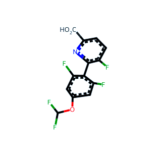 O=C(O)c1ccc(F)c(-c2c(F)cc(OC(F)F)cc2F)n1